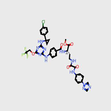 COC(=O)[C@H](CCNC(=O)C(=O)Nc1ccc(-n2cncn2)cc1)NC(=O)c1ccc(Nc2nc(NC3(c4ccc(Cl)cc4)CC3)nc(OCC(F)(F)F)n2)cc1